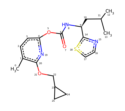 Cc1ccc(OC(=O)N[C@@H](CC(C)C)c2nccs2)nc1OCC1CC1